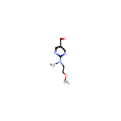 COCCN(C)c1ncc(C=O)cn1